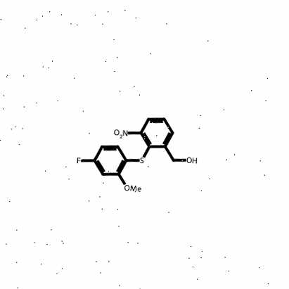 COc1cc(F)ccc1Sc1c(CO)cccc1[N+](=O)[O-]